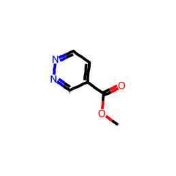 COC(=O)c1[c]nncc1